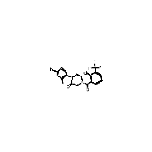 O=C(c1cccc(C(F)(F)F)c1Cl)N1CCN(c2ccc(F)cc2F)C(=O)C1